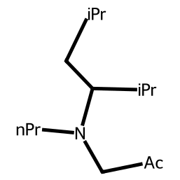 CCCN(CC(C)=O)C(CC(C)C)C(C)C